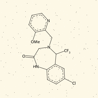 COc1cccnc1CN1CC(=O)Nc2ccc(Cl)cc2C1C(F)(F)F